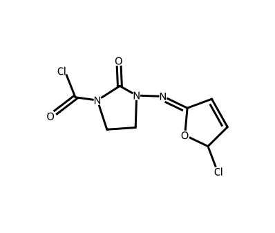 O=C(Cl)N1CCN(N=C2C=CC(Cl)O2)C1=O